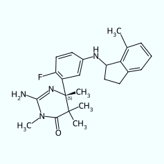 Cc1cccc2c1C(Nc1ccc(F)c([C@@]3(C)N=C(N)N(C)C(=O)C3(C)C)c1)CC2